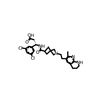 Cc1nc2c(cc1CCN1CC3(CC(C(=O)N[C@@H](CC(=O)O)c4cc(Cl)cc(Cl)c4)C3)C1)CCCN2